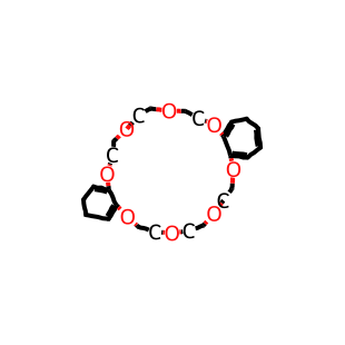 C1=CCC=C2OCCOCCOCCOC3=CCCC=C3OCCOCCOCCOC2=C1